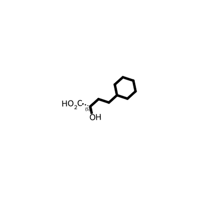 O=C(O)[C@@H](O)CCC1CCCCC1